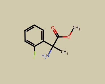 COC(=O)C(C)(N)c1ccccc1F